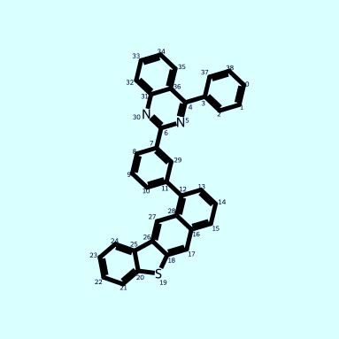 c1ccc(-c2nc(-c3cccc(-c4cccc5cc6sc7ccccc7c6cc45)c3)nc3ccccc23)cc1